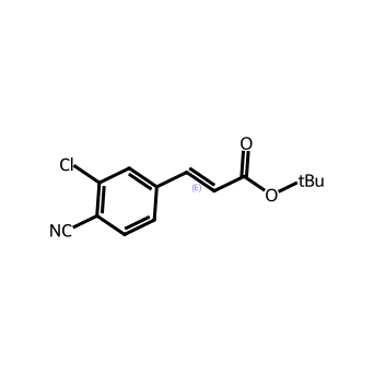 CC(C)(C)OC(=O)/C=C/c1ccc(C#N)c(Cl)c1